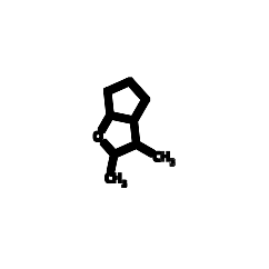 CC1OC2CCCC2C1C